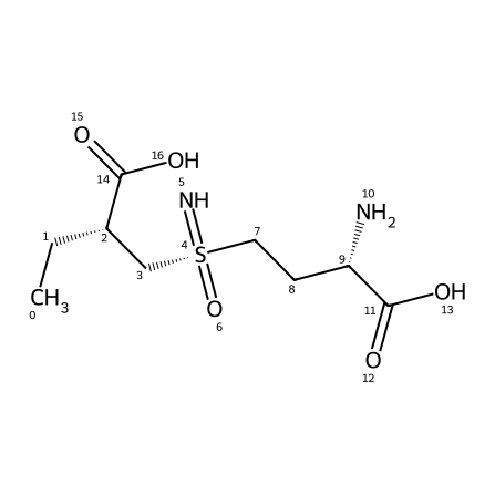 CC[C@@H](C[S@@](=N)(=O)CC[C@H](N)C(=O)O)C(=O)O